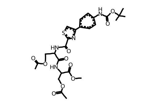 COC(=O)C(COC(C)=O)NC(=O)C(COC(C)=O)NC(=O)c1nc(-c2ccc(NC(=O)OC(C)(C)C)cc2)cs1